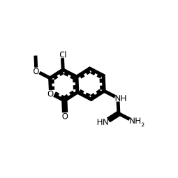 COc1oc(=O)c2cc(NC(=N)N)ccc2c1Cl